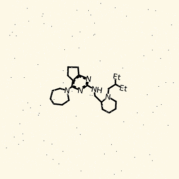 CCC(CC)CN1CCCCC1CNc1nc2c(c(N3CCCCCC3)n1)CCC2